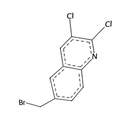 Clc1cc2cc(CBr)ccc2nc1Cl